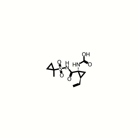 C=C[C@@H]1C[C@]1(NC(=O)O)C(=O)NS(=O)(=O)C1(C)CC1